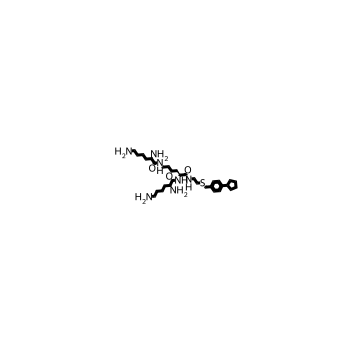 NCCCC[C@H](N)C(=O)NCCCC[C@H](NC(=O)[C@@H](N)CCCCN)C(=O)NCCSCc1ccc(C2CCCC2)cc1